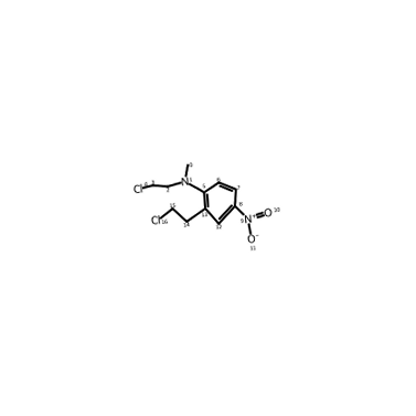 CN(CCCl)c1ccc([N+](=O)[O-])cc1CCCl